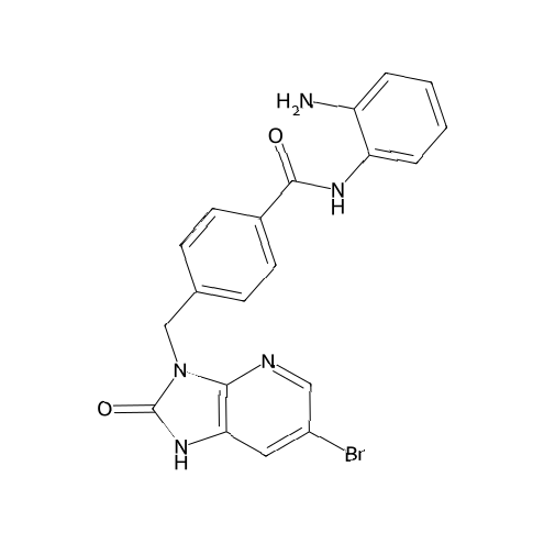 Nc1ccccc1NC(=O)c1ccc(Cn2c(=O)[nH]c3cc(Br)cnc32)cc1